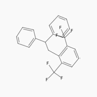 FC(F)(F)c1c[c]cc(C(F)(F)F)c1CC(c1ccccc1)c1ccccc1